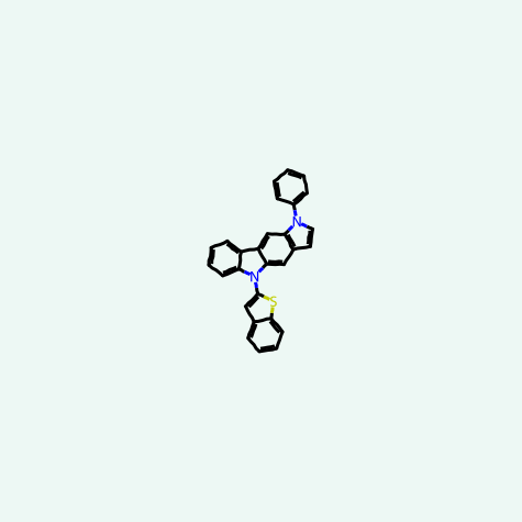 c1ccc(-n2ccc3cc4c(cc32)c2ccccc2n4-c2cc3ccccc3s2)cc1